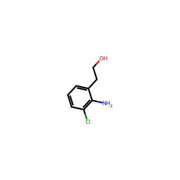 Nc1c(Cl)cccc1CCO